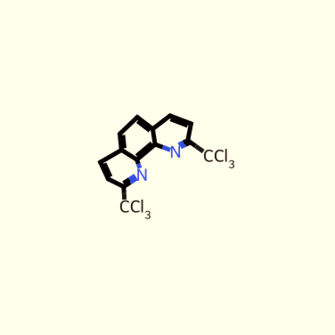 ClC(Cl)(Cl)c1ccc2ccc3ccc(C(Cl)(Cl)Cl)nc3c2n1